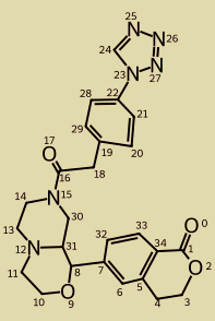 O=C1OCCc2cc(C3OCCN4CCN(C(=O)Cc5ccc(-n6cnnn6)cc5)CC34)ccc21